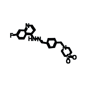 O=S1(=O)CCN(Cc2ccc(C=NNc3ccnc4cc(F)ccc34)cc2)CC1